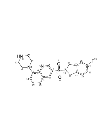 O=S(=O)(c1cnc2c(N3CCNCC3)cccc2c1)N1Cc2ccc(F)cc2C1